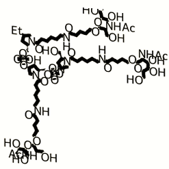 CC[C@@H]1C[C@@H](COP(=O)(O)O[C@@H]2C[C@@H](COP(=O)(O)O[C@@H]3C[C@@H](CO)N(C(=O)CCCCCNC(=O)CCCCOC4OC(CO)C(O)C(O)C4NC(C)=O)C3)N(C(=O)CCCCCNC(=O)CCCCOC(OC(CO)[C@@H](C)O)[C@H](CO)NC(C)=O)C2)N(C(=O)CCCCCNC(=O)CCCCOC(OC(CO)[C@@H](C)O)[C@H](CO)NC(C)=O)C1